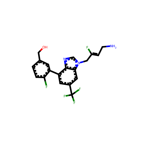 NCC=C(F)Cn1cnc2c(-c3cc(CO)ccc3F)cc(C(F)(F)F)cc21